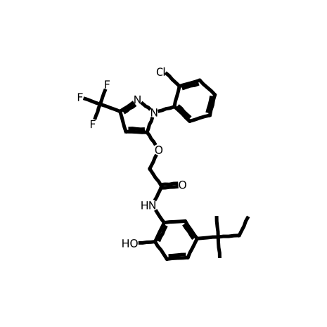 CCC(C)(C)c1ccc(O)c(NC(=O)COc2cc(C(F)(F)F)nn2-c2ccccc2Cl)c1